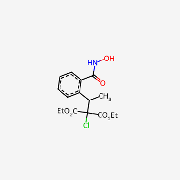 CCOC(=O)C(Cl)(C(=O)OCC)C(C)c1ccccc1C(=O)NO